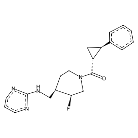 O=C([C@@H]1C[C@H]1c1ccccc1)N1CC[C@H](CNc2ncccn2)[C@H](F)C1